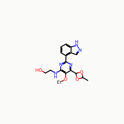 CCOc1c(NCCO)nc(-c2cccc3[nH]ncc23)nc1C1OC(C)O1